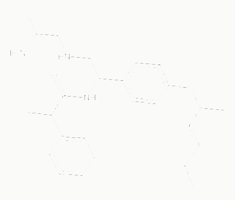 CCCCC(C)Oc1ccc(C(CNCC(C)N)NC(=O)C(C)c2ccccc2)cc1